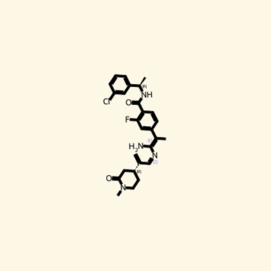 C=C(/C=N\C(N)=C(/C)c1ccc(C(=O)N[C@H](C)c2cccc(Cl)c2)c(F)c1)[C@@H]1CCN(C)C(=O)C1